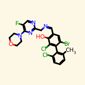 Cc1cccc(Cl)c1-c1c(Br)cc(/C=N\Cc2ncc(F)c(N3CCOCC3)n2)c(O)c1Cl